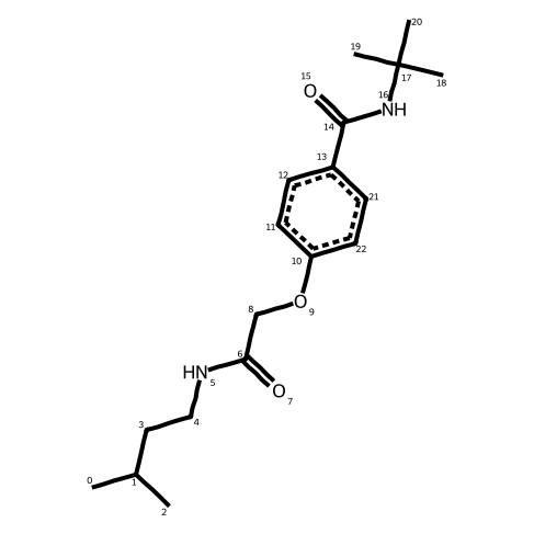 CC(C)CCNC(=O)COc1ccc(C(=O)NC(C)(C)C)cc1